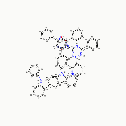 c1ccc(-c2nc(-c3ccccc3)nc(-c3ccc(-n4c5ccccc5c5cc6c7ccccc7n(-c7ccccc7)c6cc54)c(-c4ncccc4-c4nc(-c5ccccc5)nc(-c5ccccc5)n4)c3)n2)cc1